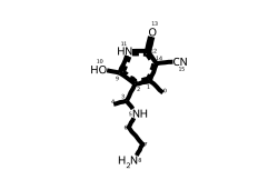 Cc1c(C(C)NCCN)c(O)[nH]c(=O)c1C#N